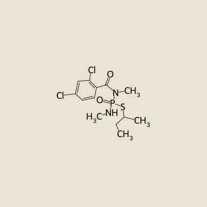 CCC(C)SP(=O)(NC)N(C)C(=O)c1ccc(Cl)cc1Cl